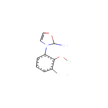 CCCCCc1cccc(N2C=COC2N)c1OCC